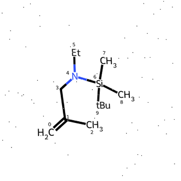 C=C(C)CN(CC)[Si](C)(C)C(C)(C)C